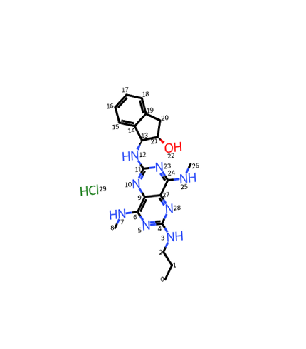 CCCNc1nc(NC)c2nc(N[C@H]3c4ccccc4C[C@H]3O)nc(NC)c2n1.Cl